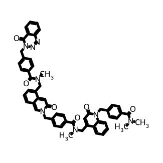 CN(C)C(=O)c1ccc(Cn2c(=O)cc(CN(C)C(=O)c3ccc(Cn4cc5cccc(CN(C)C(=O)c6ccc(Cn7nnc8ccccc8c7=O)cc6)c5cc4=O)cc3)c3ccccc32)cc1